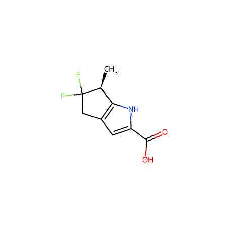 C[C@H]1c2[nH]c(C(=O)O)cc2CC1(F)F